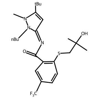 CCCCn1c(=NC(=O)c2cc(C(F)(F)F)ccc2SCC(C)(C)O)cc(C(C)(C)C)n1C